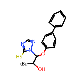 CC(C)(C)C(O)C(Oc1ccc(-c2ccccc2)cc1)n1ncnc1S